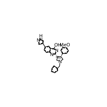 COc1cccc([C@H]2CN(Cc3ccccc3)C[C@@H]2c2nc(O)c3cc(-c4cn[nH]c4)ccc3n2)c1